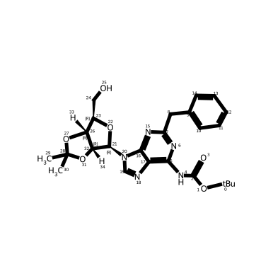 CC(C)(C)OC(=O)Nc1nc(Cc2ccccc2)nc2c1ncn2[C@@H]1O[C@H](CO)[C@H]2OC(C)(C)O[C@H]21